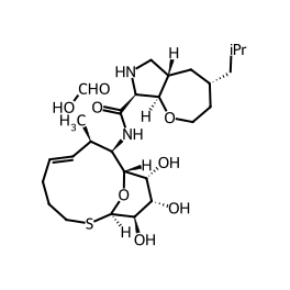 CC(C)C[C@@H]1CCO[C@@H]2[C@H](CN[C@@H]2C(=O)N[C@H]2[C@H]3O[C@H](SCCC/C=C/[C@H]2C)[C@H](O)[C@@H](O)[C@H]3O)C1.O=CO